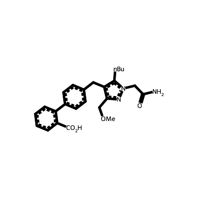 CCCCc1c(Cc2ccc(-c3ccccc3C(=O)O)cc2)c(COC)nn1CC(N)=O